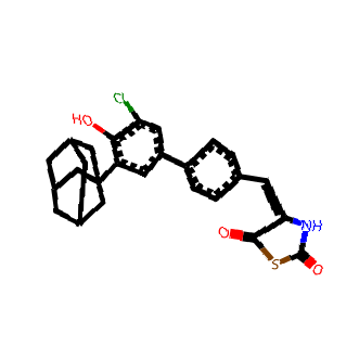 O=C1NC(=Cc2ccc(-c3cc(Cl)c(O)c(C45CC6CC(CC(C6)C4)C5)c3)cc2)C(=O)S1